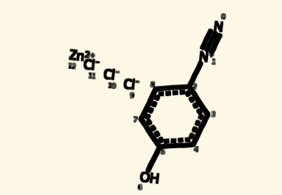 N#[N+]c1ccc(O)cc1.[Cl-].[Cl-].[Cl-].[Zn+2]